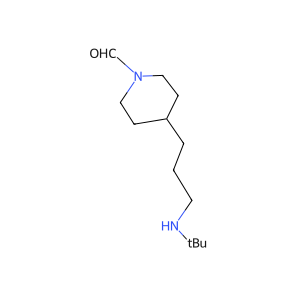 CC(C)(C)NCCCC1CCN(C=O)CC1